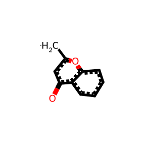 [CH2]c1cc(=O)c2ccccc2o1